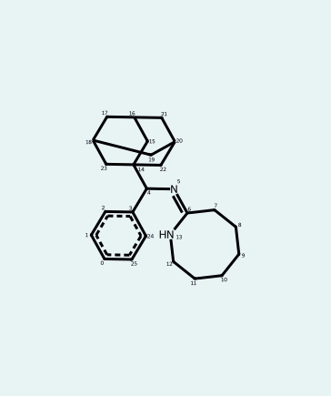 c1ccc(C(/N=C2/CCCCCCN2)C23CC4CC(CC(C4)C2)C3)cc1